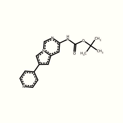 CC(C)(C)OC(=O)Nc1cc2cc(-c3ccncc3)cn2cn1